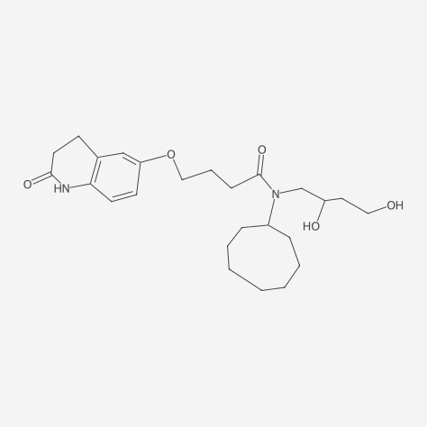 O=C1CCc2cc(OCCCC(=O)N(CC(O)CCO)C3CCCCCCC3)ccc2N1